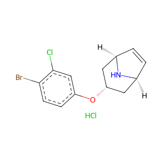 Cl.Clc1cc(O[C@@H]2C[C@H]3C=C[C@@H](C2)N3)ccc1Br